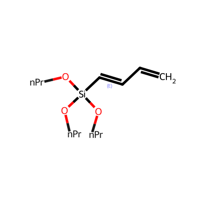 C=C/C=C/[Si](OCCC)(OCCC)OCCC